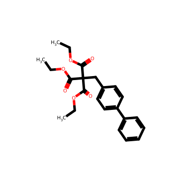 CCOC(=O)C(Cc1ccc(-c2ccccc2)cc1)(C(=O)OCC)C(=O)OCC